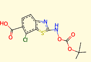 CC(C)(C)OC(=O)ONc1nc2ccc(C(=O)O)c(Cl)c2s1